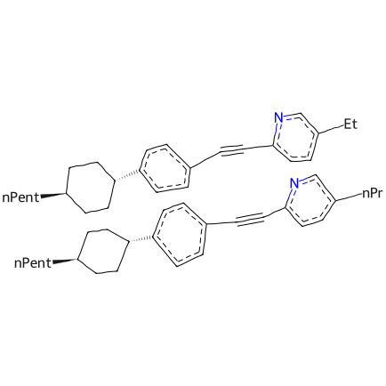 CCCCC[C@H]1CC[C@H](c2ccc(C#Cc3ccc(CC)cn3)cc2)CC1.CCCCC[C@H]1CC[C@H](c2ccc(C#Cc3ccc(CCC)cn3)cc2)CC1